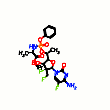 CC(C)OC(=O)[C@H](C)N[P@@](=O)(Oc1ccccc1)O[C@@H](C)[C@H]1O[C@@H](n2cc(F)c(N)nc2=O)[C@@](F)(CF)C1O